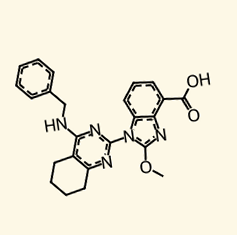 COc1nc2c(C(=O)O)cccc2n1-c1nc2c(c(NCc3ccccc3)n1)CCCC2